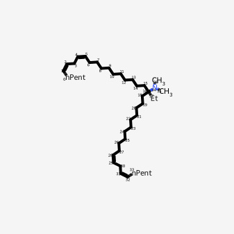 CCCCC/C=C\C/C=C\CCCCCCCCCCC(CC)(CCCCCCCCCC/C=C\C/C=C\CCCCC)N(C)C